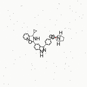 O=C(N[C@H](c1ccccn1)C1CC1)c1ccc2[nH]nc(-c3ccc(O[C@H]4C[C@H]5CC[C@@H](C4)N5C4COC4)cc3)c2c1